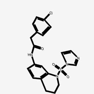 O=C(Cc1ccc(Cl)cc1)Nc1ccc2c(c1)N(S(=O)(=O)n1ccnc1)CCC2